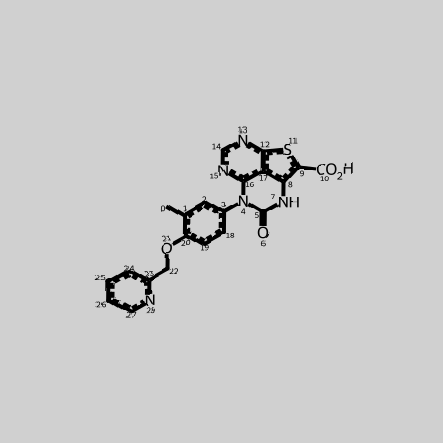 Cc1cc(N2C(=O)Nc3c(C(=O)O)sc4ncnc2c34)ccc1OCc1ccccn1